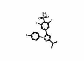 NS(=O)(=O)c1c(F)cc(-c2cc(C(F)F)nn2-c2ccc(F)cc2)cc1F